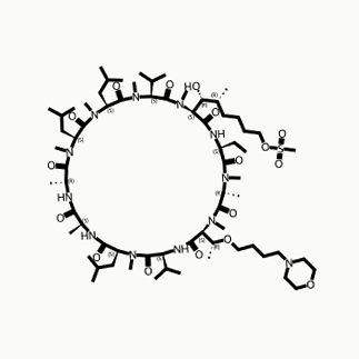 CC[C@@H]1NC(=O)[C@H]([C@H](O)[C@H](C)CCCCOS(C)(=O)=O)N(C)C(=O)[C@H](C(C)C)N(C)C(=O)[C@H](CC(C)C)N(C)C(=O)[C@H](CC(C)C)N(C)C(=O)[C@@H](C)NC(=O)[C@H](C)NC(=O)[C@H](CC(C)C)N(C)C(=O)[C@H](C(C)C)NC(=O)[C@H]([C@@H](C)OCCCCN2CCOCC2)N(C)C(=O)[C@@H](C)N(C)C1=O